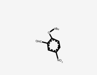 CCCCOc1ccc([N+](=O)[O-])cc1C=O